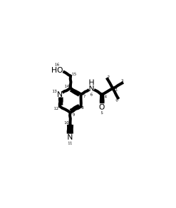 CC(C)(C)C(=O)Nc1cc(C#N)cnc1CO